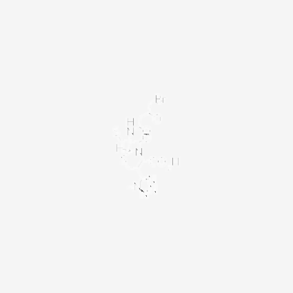 Cn1nnnc1C1=C(C(=O)O)N2C(=O)C(C=S)(NC(=O)CC(=O)CBr)[C@@H]2SC1